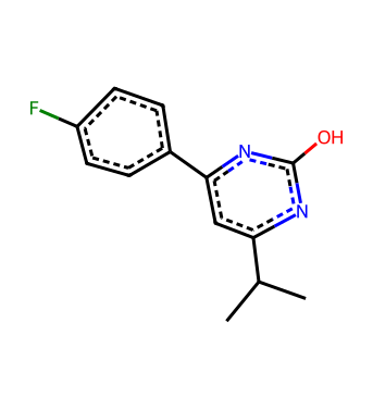 CC(C)c1cc(-c2ccc(F)cc2)nc(O)n1